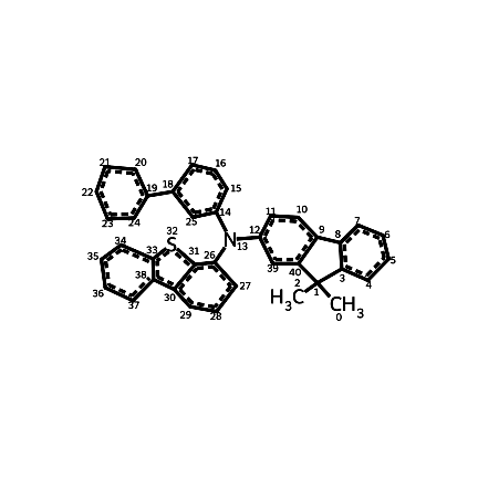 CC1(C)c2ccccc2-c2ccc(N(c3cccc(-c4ccccc4)c3)c3cccc4c3sc3ccccc34)cc21